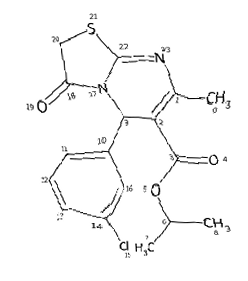 CC1=C(C(=O)OC(C)C)C(c2cccc(Cl)c2)N2C(=O)CSC2=N1